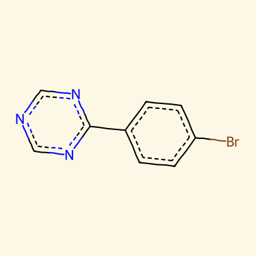 Brc1ccc(-c2ncncn2)cc1